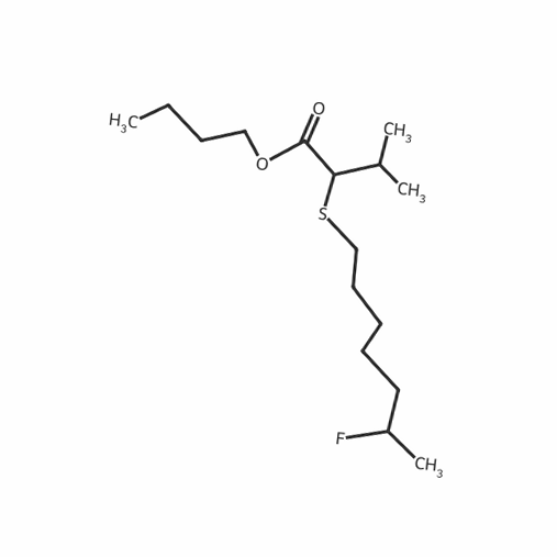 CCCCOC(=O)C(SCCCCCC(C)F)C(C)C